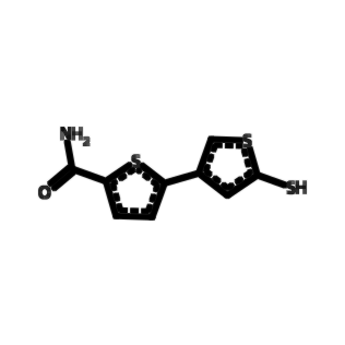 NC(=O)c1ccc(-c2csc(S)c2)s1